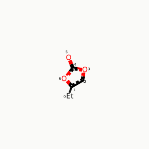 CCc1[c]oc(=O)o1